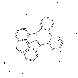 c1ccc(C2=C3c4ccccc4-c4ccccc4[C]2c2ccccc2-c2ccccc23)cc1